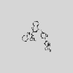 C[C@@H]1CCCCC1NC(=O)c1cc(Cc2ccc(-c3cnn(C)c3)nc2)c2ccccc2n1